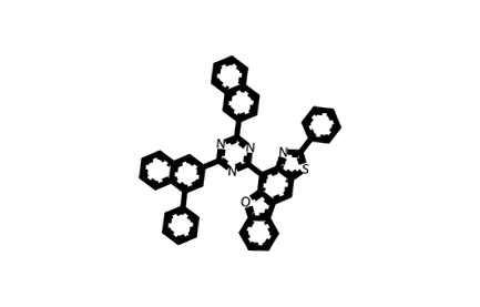 c1ccc(-c2nc3c(-c4nc(-c5ccc6ccccc6c5)nc(-c5cc(-c6ccccc6)c6ccccc6c5)n4)c4oc5ccccc5c4cc3s2)cc1